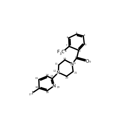 O=C(c1ccccc1C(F)(F)F)N1CCN(c2ccc(I)cn2)CC1